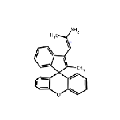 CC1=C(/C=C(\C)N)c2ccccc2C12c1ccccc1Oc1ccccc12